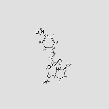 CC(C)OC1CCC(=O)N1S(=O)(=O)C=Cc1ccc([N+](=O)[O-])cc1